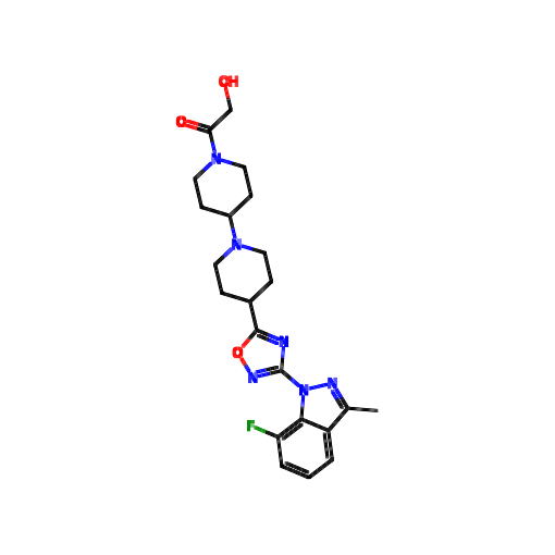 Cc1nn(-c2noc(C3CCN(C4CCN(C(=O)CO)CC4)CC3)n2)c2c(F)cccc12